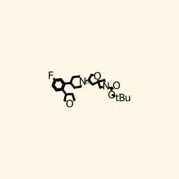 CC(C)(C)OC(=O)N1CC2(C[C@H](N3CCC(c4cc(F)ccc4C4CCOC4)CC3)CO2)C1